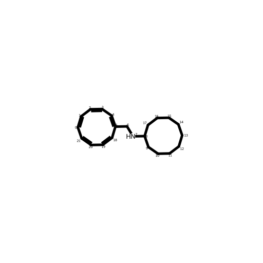 c1ccccc(CNC2CCCCCCCCC2)cccc1